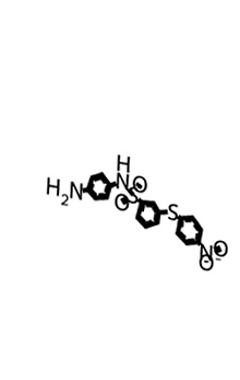 Nc1ccc(NS(=O)(=O)c2cccc(Sc3ccc([N+](=O)[O-])cc3)c2)cc1